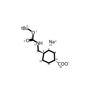 CC(C)(C)OC(=O)NC[C@H]1CC[C@H](C(=O)[O-])CC1.[Na+]